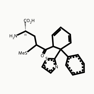 CSC(C[C@H](N)C(=O)O)C(=O)C1C=CC=CC1(c1ccccc1)c1nccs1